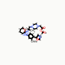 COc1cc(NC2(NC(C)(C)CN3CCN(CC(=O)OC(=O)C(F)(F)F)CC3)CCCCO2)ccc1-c1cnco1